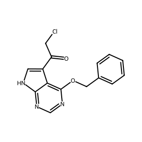 O=C(CCl)c1c[nH]c2ncnc(OCc3ccccc3)c12